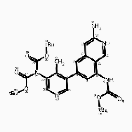 Cc1c(-c2cc(NC(=O)OC(C)(C)C)c3cnc(N)cc3c2)cncc1N(C(=O)OC(C)(C)C)C(=O)OC(C)(C)C